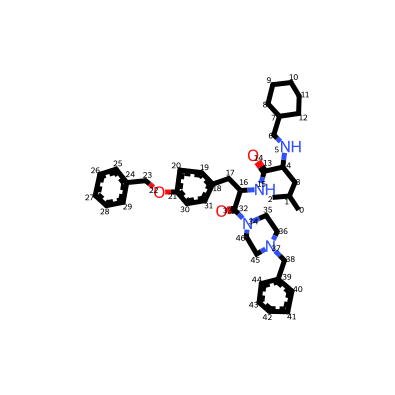 CC(C)CC(NCC1CCCCC1)C(=O)NC(Cc1ccc(OCc2ccccc2)cc1)C(=O)N1CCN(Cc2ccccc2)CC1